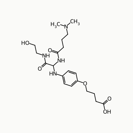 CN(C)CCCC(=O)NC(Nc1ccc(OCCCC(=O)O)cc1)C(=O)NCCO